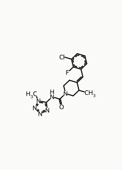 CC1CN(C(=O)Nc2nnnn2C)CC/C1=C\c1cccc(Cl)c1F